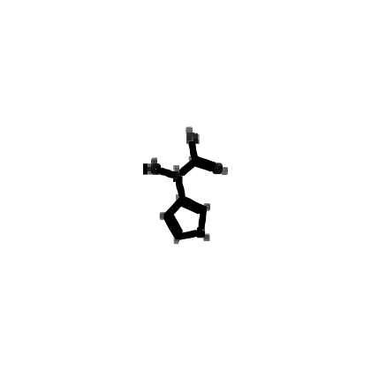 CCC(=O)N(O)c1ccsc1